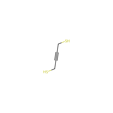 SCC#CCS